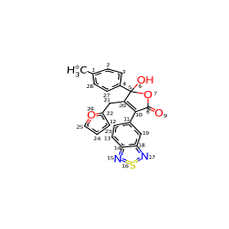 Cc1ccc(C2(O)OC(=O)C(c3ccc4nsnc4c3)=C2Cc2ccco2)cc1